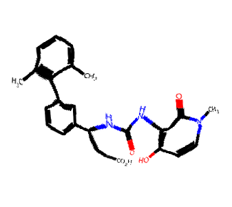 Cc1cccc(C)c1-c1cccc(C(CC(=O)O)NC(=O)Nc2c(O)ccn(C)c2=O)c1